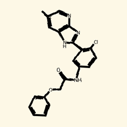 Cc1cnc2nc(-c3cc(NC(=O)COc4ccccc4)ccc3Cl)[nH]c2c1